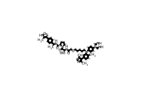 CC1=C(c2ccc([C@H](C)NC(=O)[C@@H]3CCCN3C(=O)[C@@H](NC(=O)COCCCCCN(c3ccc(N(C=N)C=N)cc3)c3cc(-c4c(C)noc4C)ccc3C)C(C)(C)C)cc2)SON1